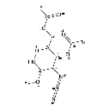 COC1NOC(COC(C)=O)[C@H](OC(C)=O)C1N=[N+]=[N-]